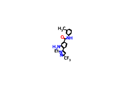 CCn1nc(C(F)(F)F)cc1-c1ccc(C(=O)Nc2cccc(C)c2)cc1N